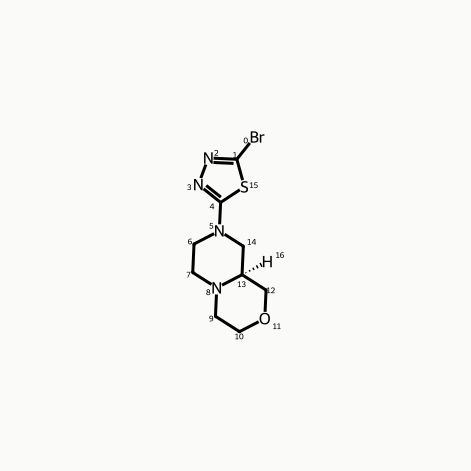 Brc1nnc(N2CCN3CCOC[C@@H]3C2)s1